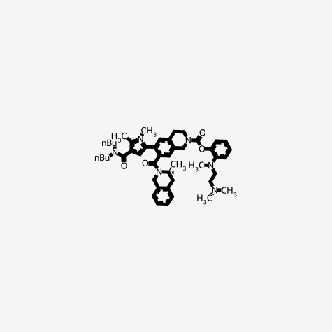 CCCCN(CCCC)C(=O)c1cc(-c2cc3c(cc2C(=O)N2Cc4ccccc4C[C@H]2C)CN(C(=O)Oc2ccccc2N(C)CCN(C)C)CC3)n(C)c1C